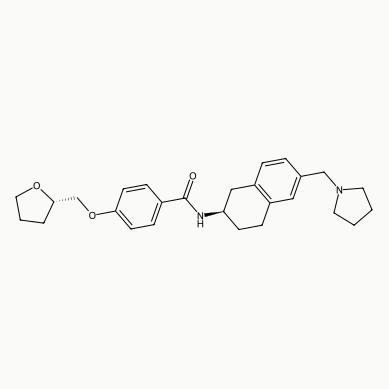 O=C(N[C@@H]1CCc2cc(CN3CCCC3)ccc2C1)c1ccc(OC[C@@H]2CCCO2)cc1